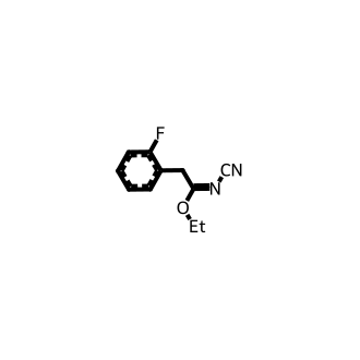 CCO/C(Cc1ccccc1F)=N/C#N